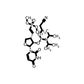 COP(=O)(/C=C/[C@H]1CO[C@@H](n2ccc(=O)[nH]c2=O)[C@@H]1OP(OCCC#N)N(C(C)C)C(C)C)OC